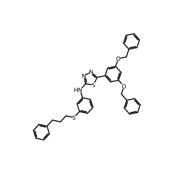 c1ccc(CCCSc2cccc(Nc3nnc(-c4cc(OCc5ccccc5)cc(OCc5ccccc5)c4)s3)c2)cc1